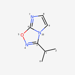 CC(C)c1noc2nccn12